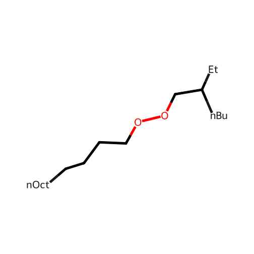 CCCCCCCCCCCCOOCC(CC)CCCC